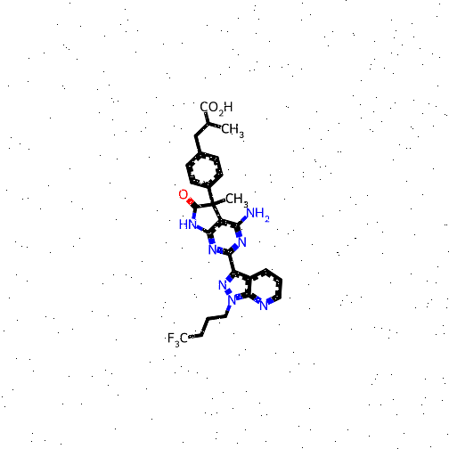 CC(Cc1ccc(C2(C)C(=O)Nc3nc(-c4nn(CCCC(F)(F)F)c5ncccc45)nc(N)c32)cc1)C(=O)O